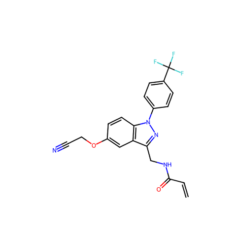 C=CC(=O)NCc1nn(-c2ccc(C(F)(F)F)cc2)c2ccc(OCC#N)cc12